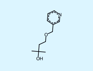 CC(C)(O)CCOCc1cccnc1